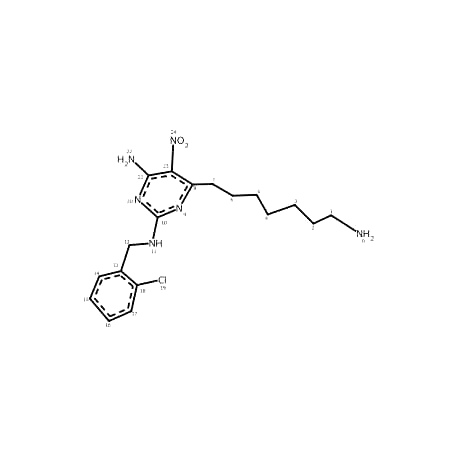 NCCCCCCCc1nc(NCc2ccccc2Cl)nc(N)c1[N+](=O)[O-]